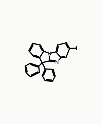 Ic1ccc2c(c1)nc1n2-c2ccccc2C1(c1ccccc1)c1ccccc1